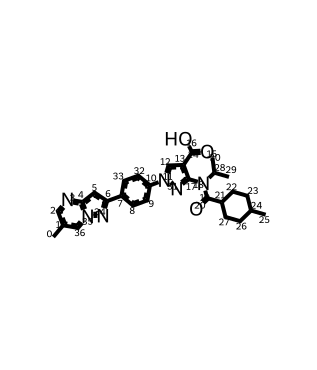 Cc1cnc2cc(-c3ccc(-n4cc(C(=O)O)c(N(C(=O)C5CCC(C)CC5)C(C)C)n4)cc3)nn2c1